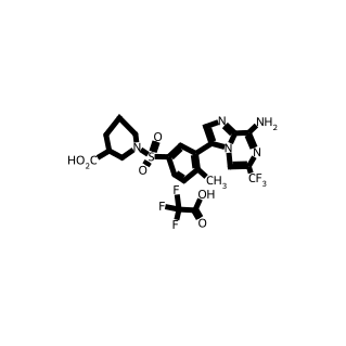 Cc1ccc(S(=O)(=O)N2CCCC(C(=O)O)C2)cc1-c1cnc2c(N)nc(C(F)(F)F)cn12.O=C(O)C(F)(F)F